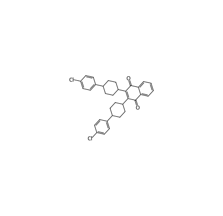 O=C1C(C2CCC(c3ccc(Cl)cc3)CC2)=C(C2CCC(c3ccc(Cl)cc3)CC2)C(=O)c2ccccc21